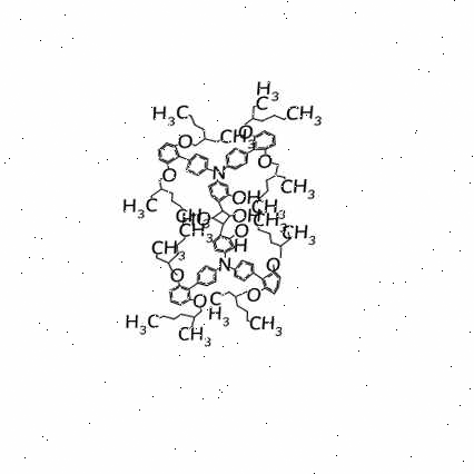 CCCCC(CC)COc1cccc(OCC(CC)CCCC)c1-c1ccc(N(c2ccc(-c3c(OCC(CC)CCCC)cccc3OCC(CC)CCCC)cc2)c2ccc(C3C(O)C(c4ccc(N(c5ccc(-c6c(OCC(CC)CCCC)cccc6OCC(CC)CCCC)cc5)c5ccc(-c6c(OCC(CC)CCCC)cccc6OCC(CC)CCCC)cc5)cc4O)C3O)c(O)c2)cc1